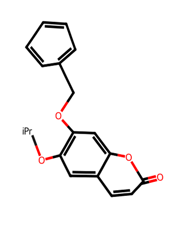 CC(C)Oc1cc2ccc(=O)oc2cc1OCc1ccccc1